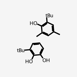 CC(C)(C)c1cccc(O)c1O.Cc1cc(C)c(O)c(C(C)(C)C)c1